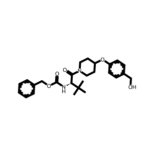 CC(C)(C)[C@H](NC(=O)OCc1ccccc1)C(=O)N1CCC(Oc2ccc(CO)cc2)CC1